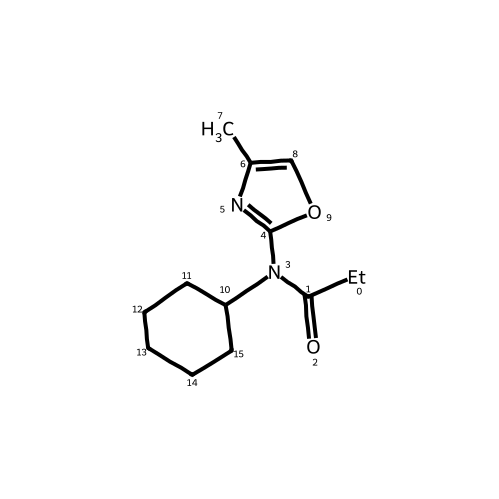 CCC(=O)N(c1nc(C)co1)C1CCCCC1